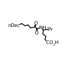 CCCCCCCCCCCCCCC(=O)C(=O)NC(CCCC(=O)O)C(C)C